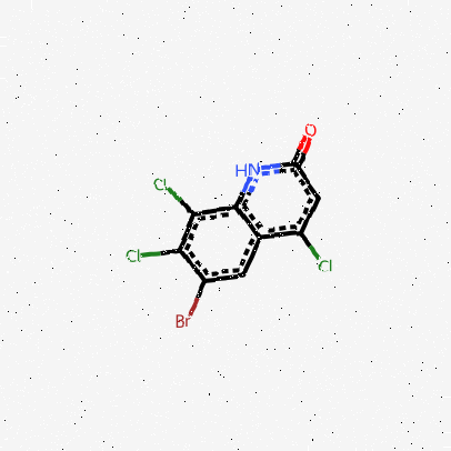 O=c1cc(Cl)c2cc(Br)c(Cl)c(Cl)c2[nH]1